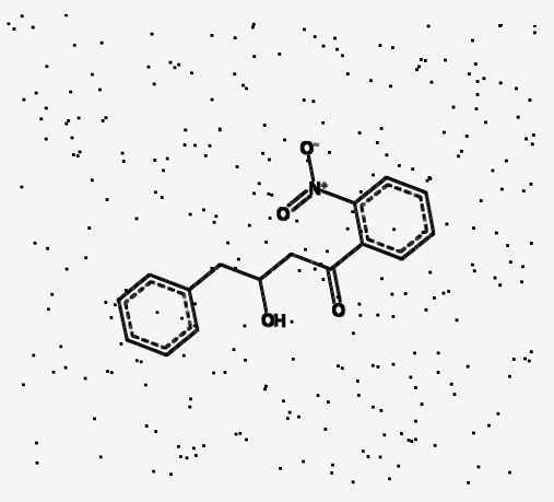 O=C(CC(O)Cc1ccccc1)c1ccccc1[N+](=O)[O-]